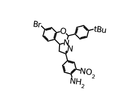 CC(C)(C)c1ccc(C2Oc3cc(Br)ccc3C3CC(c4ccc(N)c([N+](=O)[O-])c4)=NN32)cc1